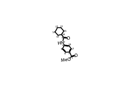 COC(=O)c1ccc(NC(=O)C2CCCCC2)cc1